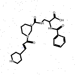 O=C(NC(CNC(=O)[C@@H]1CCCN(C(=O)/C=C/C2CCNCC2)C1)C(=O)O)c1ccccc1